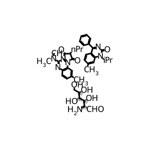 CCCC1C(=O)N2C(N(C)C)=Nc3ccc(C)cc3N2C1=O.Cc1ccc2c(-c3ccccc3)nc(=O)n(C(C)C)c2c1.N[C@@H](C=O)[C@@H](O)[C@H](O)[C@H](O)CO